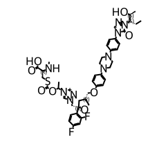 CC[C@@H]([C@H](C)O)n1ncn(-c2ccc(N3CCN(c4ccc(OC[C@@H]5CO[C@@](Cn6c[n+](C(C)OC(=O)SC[C@H](NC)C(=O)O)cn6)(c6ccc(F)cc6F)C5)cc4)CC3)cc2)c1=O